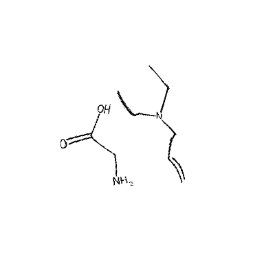 C=CCN(CC)CC.NCC(=O)O